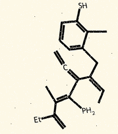 C=C=C(/C(=C\C)Cc1cccc(S)c1C)/C(P)=C(\C)C(=C)CC